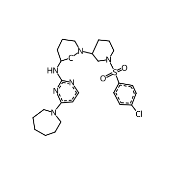 O=S(=O)(c1ccc(Cl)cc1)N1CCCC(N2CCCC(Nc3nccc(N4CCCCCC4)n3)C2)C1